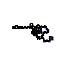 CC/C=C\C/C=C\C/C=C\C/C=C\C/C=C\C/C=C\CCC(=O)OC(COC(=O)CCCCCCCCCCCCCCC)COP(=O)(O)OCC[N+](C)(C)C